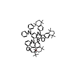 CC(C)(C)c1ccc2c(c1)oc1cccc(N3c4cc5c(cc4B4c6oc7cc8c(cc7c6N(c6ccc7c(c6)C(C)(C)CCC7(C)C)c6cc(N(c7ccccc7)c7ccccc7)cc3c64)C(C)(C)CCC8(C)C)C(C)(C)CCC5(C)C)c12